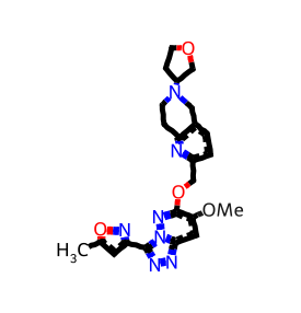 COc1cc2nnc(-c3cc(C)on3)n2nc1OCc1ccc2c(n1)CCN(C1CCOC1)C2